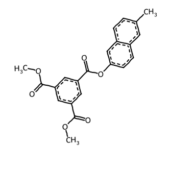 COC(=O)c1cc(C(=O)OC)cc(C(=O)Oc2ccc3cc(C)ccc3c2)c1